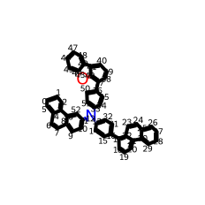 c1ccc2c(c1)ccc1ccc(N(c3ccc(-c4cccc5c4ccc4ccccc45)cc3)c3ccc(-c4cccc5c4oc4ccccc45)cc3)cc12